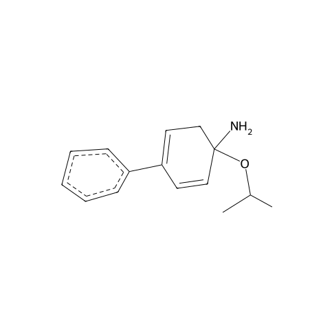 CC(C)OC1(N)C=CC(c2ccccc2)=CC1